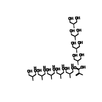 C=C(C)C(=O)O.CC(CO)CO.CC(CO)CO.CC(CO)CO.CC(CO)CO.CC(CO)CO.CC(CO)CO.CC(CO)CO.CC(CO)CO.CC(CO)CO